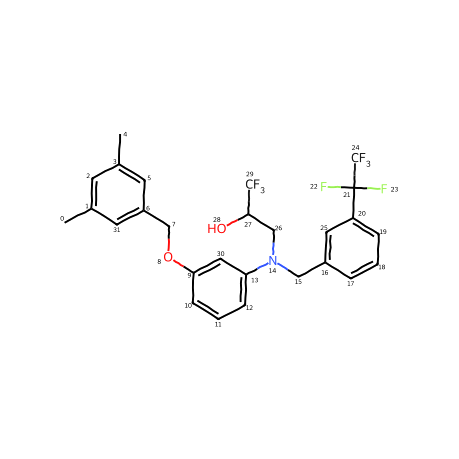 Cc1cc(C)cc(COc2cccc(N(Cc3cccc(C(F)(F)C(F)(F)F)c3)CC(O)C(F)(F)F)c2)c1